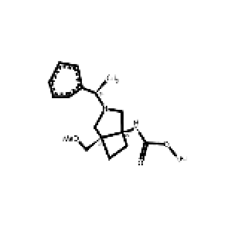 COC[C@]12CC[C@@]1(NC(=O)OC(C)(C)C)CN([C@H](C)c1ccccc1)C2